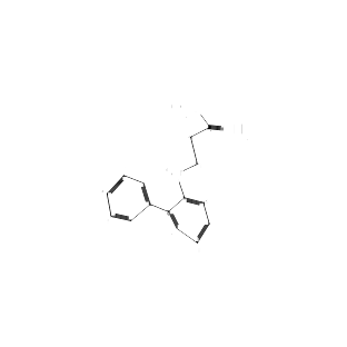 C=C(CCOc1ccccc1-c1ccccc1)C(=O)O